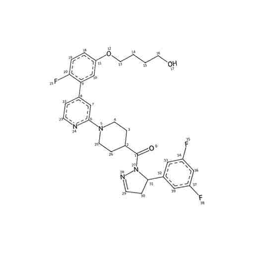 O=C(C1CCN(c2cc(-c3cc(OCCCCO)ccc3F)ccn2)CC1)N1N=CCC1c1cc(F)cc(F)c1